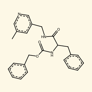 Cc1cncc(CNC(=O)C(Cc2ccccc2)NC(=O)OCc2ccccc2)c1